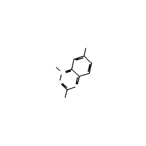 O=[N+]([O-])c1ccc2nc(Cl)n[n+]([O-])c2c1